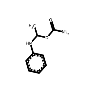 CC(Nc1ccccc1)OC(N)=O